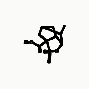 COC(=O)C12CC3CC1C(OS2(=O)=O)C3C